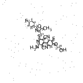 Cc1oc(-c2ccc(F)cc2)nc1CSc1nc(N)c(C#N)c(-c2ccc(OCCO)c(F)c2)c1C#N